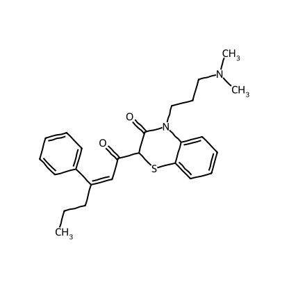 CCCC(=CC(=O)C1Sc2ccccc2N(CCCN(C)C)C1=O)c1ccccc1